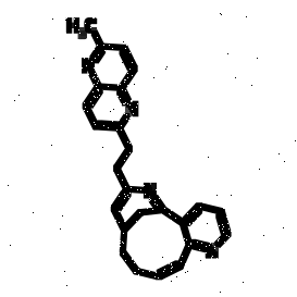 Cc1ccc2nc(CCC3=CC4CC/C=C\c5ncccc5C(=N3)C4)ccc2n1